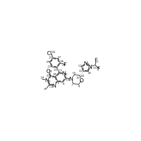 Cc1nc2cc(N3CCO[C@@H](c4cnn(C(F)F)c4)C3)nc(-c3ccc(Cl)cc3F)c2c(=O)n1C